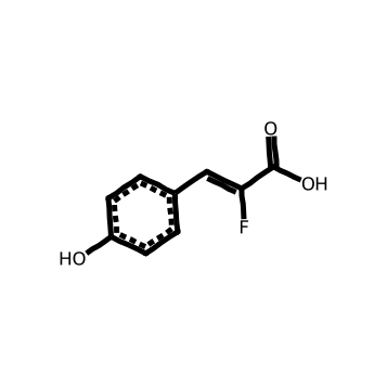 O=C(O)C(F)=Cc1ccc(O)cc1